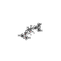 Cc1nc(Nc2ccc(/N=N/c3cc(S(=O)(=O)O)c4cccc(S(=O)(=O)O)c4c3)c(C)c2)nc(Nc2ccc(/N=N/c3cc(S(=O)(=O)O)c4cccc(S(=O)(=O)O)c4c3)c(C)c2)n1